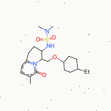 CCC1CCC(OCC2C(NS(=O)(=O)N(C)C)CCc3ccc(C)c(=O)n32)CC1